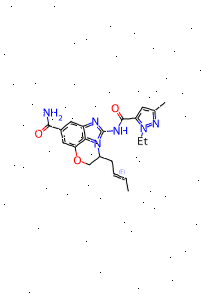 C/C=C/CC1COc2cc(C(N)=O)cc3nc(NC(=O)c4cc(C)nn4CC)n1c23